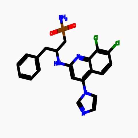 NS(=O)(=O)CC(Cc1ccccc1)Nc1cc(-n2ccnc2)c2ccc(Cl)c(Cl)c2n1